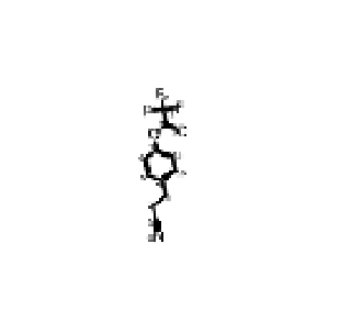 N#CCCc1ccc(OC(=O)C(F)(F)F)cc1